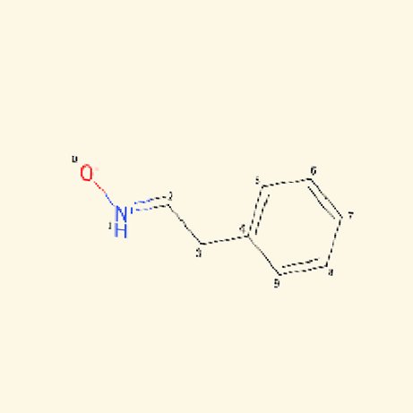 [O-][NH+]=CCc1ccccc1